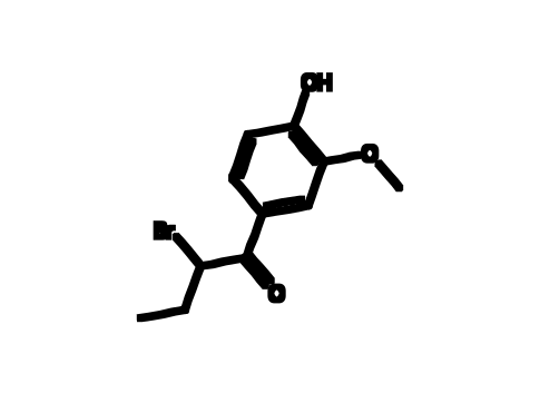 CCC(Br)C(=O)c1ccc(O)c(OC)c1